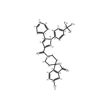 O=C1OC2(CCN(C(=O)c3cc(-c4ccncc4)n(-c4ccc(C(F)(F)F)nc4)n3)CC2)c2ccc(Cl)cc21